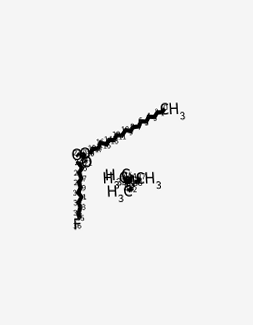 CCCCCCCCCCCCCCCCCCCCOS(=O)(=O)CCCCCCCCCCCCF.CC[N+](CC)(CC)CC